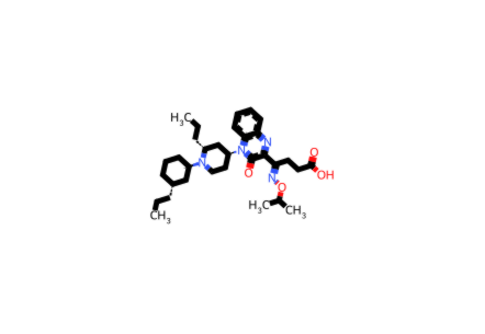 CCC[C@@H]1CCC[C@@H](N2CC[C@@H](n3c(=O)c(/C(CCC(=O)O)=N/OC(C)C)nc4ccccc43)C[C@H]2CCC)C1